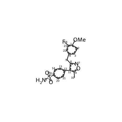 COc1ccc(Cc2noc(C)c2-c2ccc(S(N)(=O)=O)cc2)cc1F